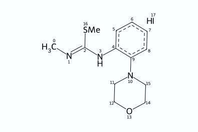 C/N=C(/Nc1ccccc1N1CCOCC1)SC.I